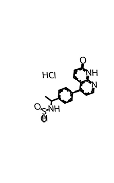 CC(N[SH](=O)=O)c1ccc(-c2ccnc3[nH]c(=O)ccc23)cc1.Cl